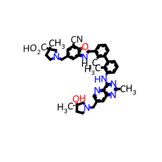 Cc1nc(Nc2cccc(-c3cccc(-c4nc5cc(CN6CCC(C)(C(=O)O)C6)cc(C#N)c5o4)c3C)c2C)c2ncc(CN3CC[C@@](C)(O)C3)cc2n1